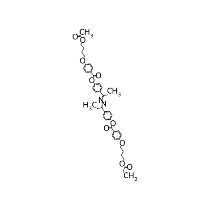 C=CC(=O)OCCCCOc1ccc(C(=O)Oc2ccc(/C(CC)=N/N=C(\CC)c3ccc(OC(=O)c4ccc(OCCCCOC(C)=O)cc4)cc3)cc2)cc1